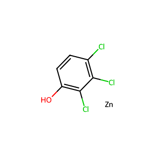 Oc1ccc(Cl)c(Cl)c1Cl.[Zn]